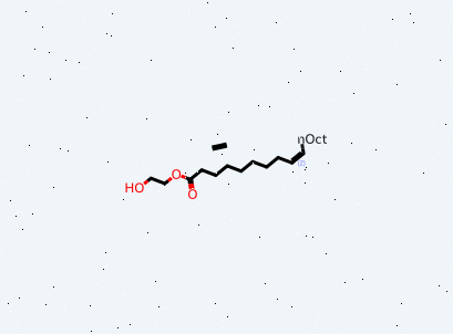 C=C.CCCCCCCC/C=C\CCCCCCCC(=O)OCCO